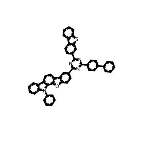 c1ccc(-c2ccc(-c3nc(-c4ccc5c(c4)sc4ccccc45)nc(-c4ccc5oc6c(ccc7c8ccccc8n(-c8ccccc8)c76)c5c4)n3)cc2)cc1